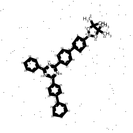 CC1(C)OB(c2ccc(-c3ccc(-c4nc(-c5ccccc5)nc(-c5ccc(-c6ccccc6)cc5)n4)cc3)cc2)OC1(C)C